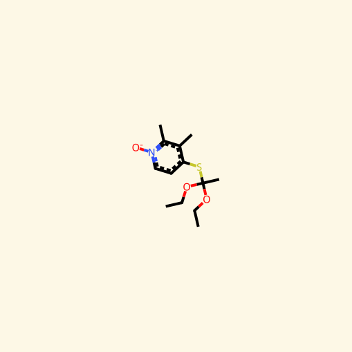 CCOC(C)(OCC)Sc1cc[n+]([O-])c(C)c1C